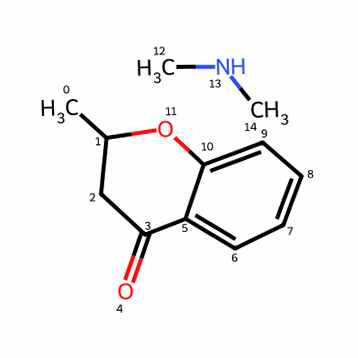 CC1CC(=O)c2ccccc2O1.CNC